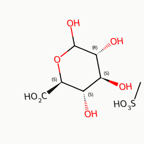 CS(=O)(=O)O.O=C(O)[C@H]1OC(O)[C@H](O)[C@@H](O)[C@@H]1O